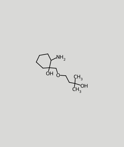 CC(C)(O)CCOCC1(O)CCCCC1N